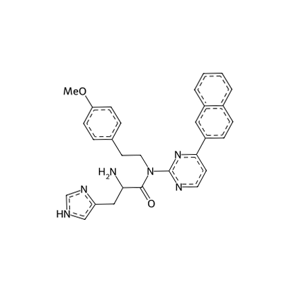 COc1ccc(CCN(C(=O)C(N)Cc2c[nH]cn2)c2nccc(-c3ccc4ccccc4c3)n2)cc1